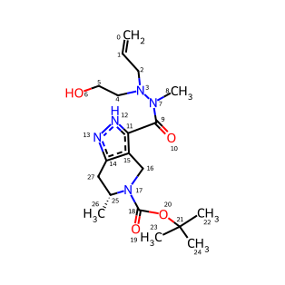 C=CCN(CCO)N(C)C(=O)c1[nH]nc2c1CN(C(=O)OC(C)(C)C)[C@H](C)C2